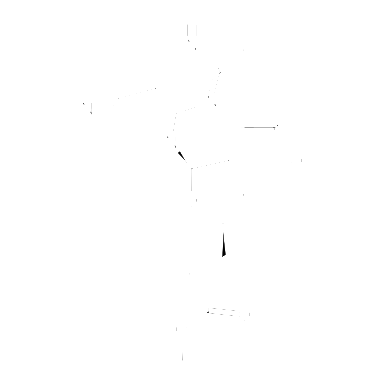 COC(=O)OC[C@@H]1C[C@@H](OC(C)=O)[C@H](Nc2nc(=O)[nH]cc2C#N)O1